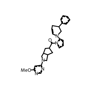 COc1cc(N2CC3CC(C(=O)n4cccc4N4C=CCC(c5ccccc5)C4)CC3C2)ncn1